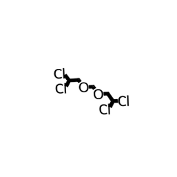 ClC(Cl)COCOCC(Cl)Cl